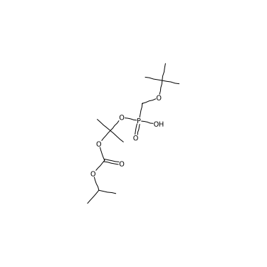 CC(C)OC(=O)OC(C)(C)OP(=O)(O)COC(C)(C)C